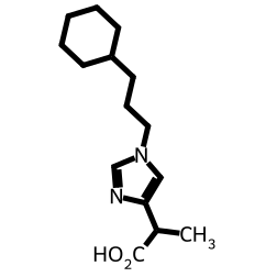 CC(C(=O)O)c1cn(CCCC2CCCCC2)cn1